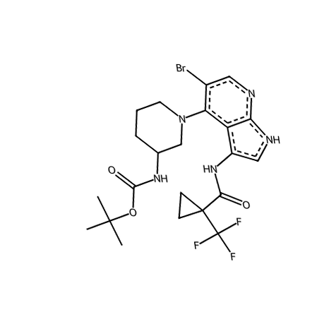 CC(C)(C)OC(=O)NC1CCCN(c2c(Br)cnc3[nH]cc(NC(=O)C4(C(F)(F)F)CC4)c23)C1